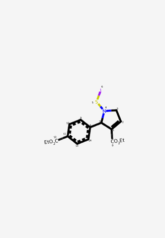 CCOC(=O)C1=CCN(SI)C1c1ccc(C(=O)OCC)cc1